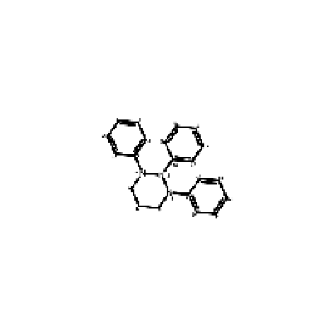 c1ccc(N2CCCN(c3ccccc3)N2c2ccccc2)cc1